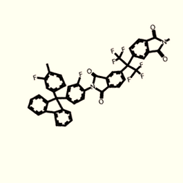 Cc1ccc(C2(c3ccc(N4C(=O)c5ccc(C(c6ccc7c(c6)C(=O)N(C)C7=O)(C(F)(F)F)C(F)(F)F)cc5C4=O)c(F)c3)c3ccccc3-c3ccccc32)cc1F